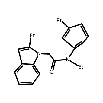 [CH2]Cc1cc2ccccc2n1CC(=O)N(CC)c1cccc(CC)c1